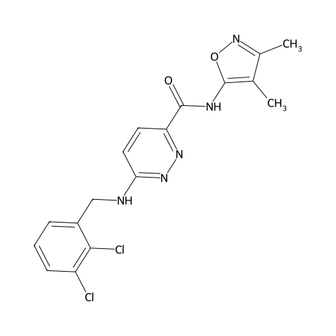 Cc1noc(NC(=O)c2ccc(NCc3cccc(Cl)c3Cl)nn2)c1C